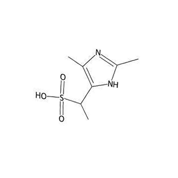 Cc1nc(C)c(C(C)S(=O)(=O)O)[nH]1